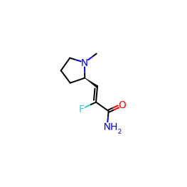 CN1CCC[C@@H]1C=C(F)C(N)=O